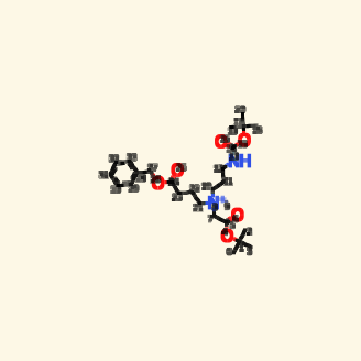 CC(C)(C)OC(=O)C[N+](C)(CCCNC(=O)OC(C)(C)C)CCCC(=O)OCc1ccccc1